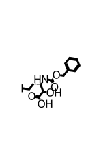 O=C(N[C@@H](CCI)C(O)C(=O)O)OCc1ccccc1